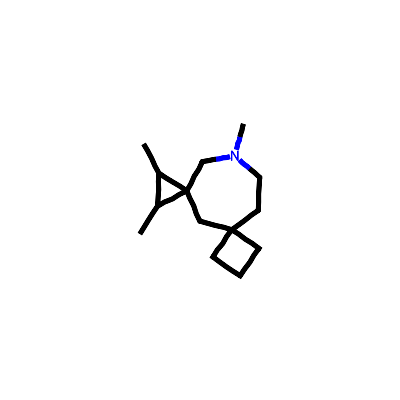 CC1C(C)C12CN(C)CCC1(CCC1)C2